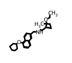 CCOC1(C)CCC1CCNCc1ccc2c(OC3CCCCC3)cccc2c1